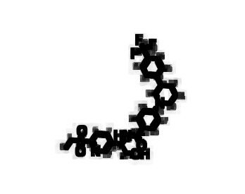 CCS(=O)(=O)c1ccc([C@H](CO)NC(=O)c2ccc(N3CCCC(c4ccc(C(F)(F)F)cc4)C3)cc2)cn1